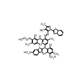 CCc1cc(C)c(SOOO)c(CC)c1Nc1nc(N(c2nc3ccc(S(=O)(=O)O)cc3s2)c2c(CC)cc(C)c(S(=O)(=O)O)c2CC)cc(C)c1N=Nc1c(C#N)c(C)nn1C1=NC2C=CC=CC2S1